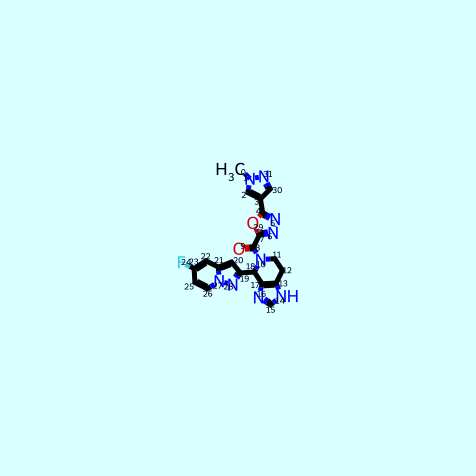 Cn1cc(-c2nnc(C(=O)N3CCc4[nH]cnc4C3c3cc4cc(F)ccn4n3)o2)cn1